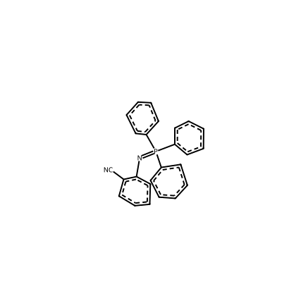 N#Cc1ccccc1N=P(c1ccccc1)(c1ccccc1)c1ccccc1